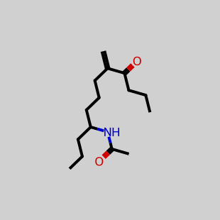 C=C(CCCC(CCC)NC(C)=O)C(=O)CCC